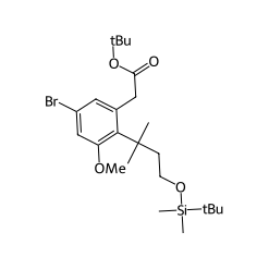 COc1cc(Br)cc(CC(=O)OC(C)(C)C)c1C(C)(C)CCO[Si](C)(C)C(C)(C)C